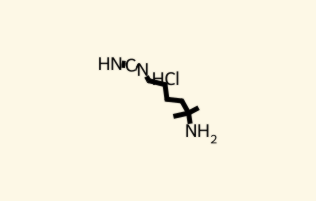 CC(C)(N)CCCCN=C=N.Cl